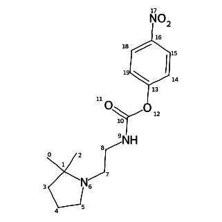 CC1(C)CCCN1CCNC(=O)Oc1ccc([N+](=O)[O-])cc1